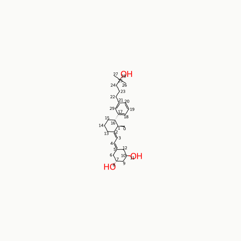 C[C@H]1/C(=C/C=C2C[C@@H](O)C[C@H](O)C2)CCC[C@@H]1c1cccc(CCCC(C)(C)O)c1